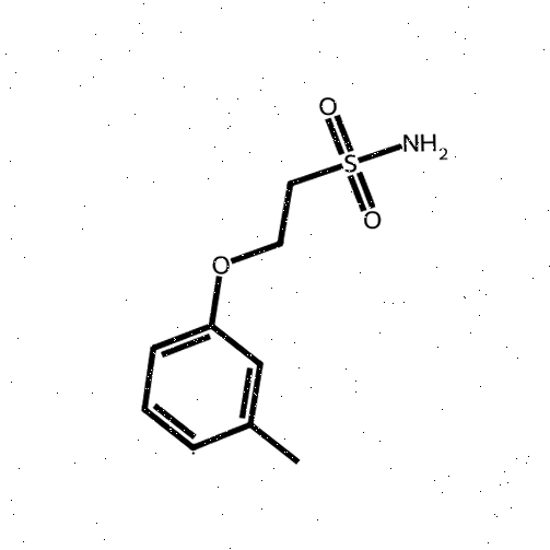 Cc1[c]ccc(OCCS(N)(=O)=O)c1